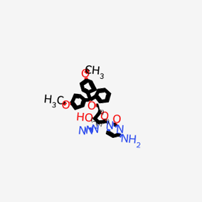 COc1ccc(C(OC[C@H]2O[C@@H](n3ccc(N)nc3=O)[C@H](N=[N+]=[N-])[C@@H]2O)(c2ccccc2)c2ccc(OC)cc2)cc1